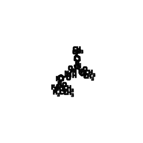 COC(=O)c1ccc(-n2cc(NC(=O)c3coc(-c4ccnc(N(CC(F)(F)F)C(=O)OC(C)(C)C)c4)n3)c(N3CCC(C)(C)C3=O)n2)cc1